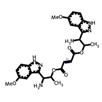 COc1ccc2[nH]nc(C(N)C(C)OC(=O)/C=C/C(=O)OC(C)C(N)c3n[nH]c4ccc(OC)cc34)c2c1